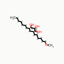 CCCCCCCCCCCCCCCCOC.OCC(O)CO